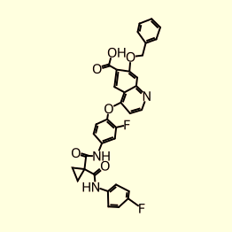 O=C(O)c1cc2c(Oc3ccc(NC(=O)C4(C(=O)Nc5ccc(F)cc5)CC4)cc3F)ccnc2cc1OCc1ccccc1